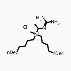 CCCCCCCCCCCCCC[N+](C)(CCCCCCCCCCCCCC)C(C)N=C(N)N.[Cl-]